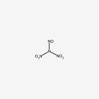 O=NN([N+](=O)[O-])[N+](=O)[O-]